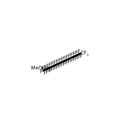 CO[SiH2]C(F)(F)C(F)(F)C(F)(F)C(F)(F)C(F)(F)C(F)(F)C(F)(F)C(F)(F)C(F)(F)C(F)(F)C(F)(F)C(F)(F)C(F)(F)C(F)(F)C(F)(F)C(F)(F)C(F)(F)F